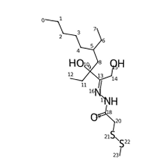 CCCCCC(CC)CC(O)(CC)/C(CO)=N/NC(=O)CSSC